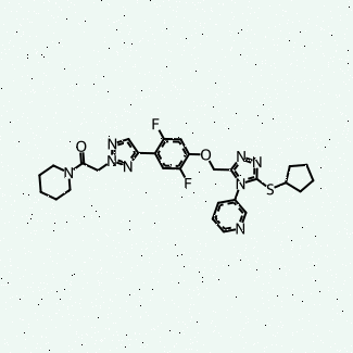 O=C(Cn1ncc(-c2cc(F)c(OCc3nnc(SC4CCCC4)n3-c3cccnc3)cc2F)n1)N1CCCCC1